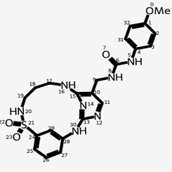 COc1ccc(NC(=O)NCc2cnc3nc2NCCCNS(=O)(=O)c2cccc(c2)N3)cc1